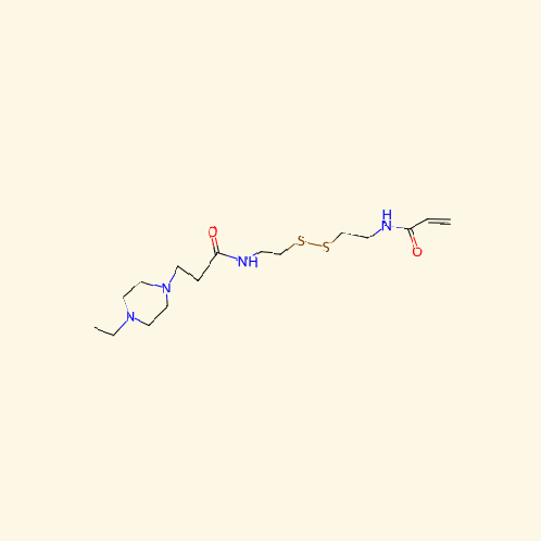 C=CC(=O)NCCSSCCNC(=O)CCN1CCN(CC)CC1